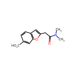 CN(C)C(=O)Cc1cc2ccc(C(=O)O)cc2o1